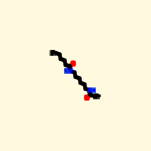 CC(C)CCCCC(=O)NCCCCCCNC(=O)C(C)C